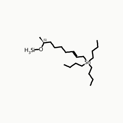 CCC[CH2][Sn]([CH2]C=CCCCC[C@H](C)O[SiH3])([CH2]CCC)[CH2]CCC